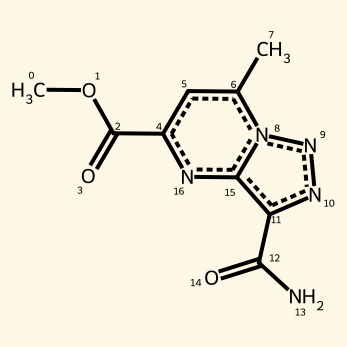 COC(=O)c1cc(C)n2nnc(C(N)=O)c2n1